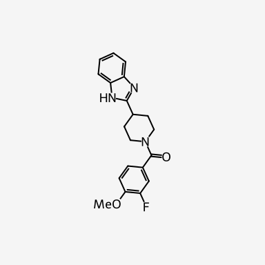 COc1ccc(C(=O)N2CCC(c3nc4ccccc4[nH]3)CC2)cc1F